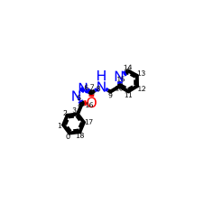 c1ccc(-c2nnc(NCc3ccccn3)o2)cc1